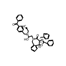 C#CCN(Cc1ccc(C(=O)c2ccccc2)cc1)C(O)CN1Cc2ccccc2[C@@H]2OC(c3ccccc3)=N[C@]2(Cc2ccccc2)C1=O